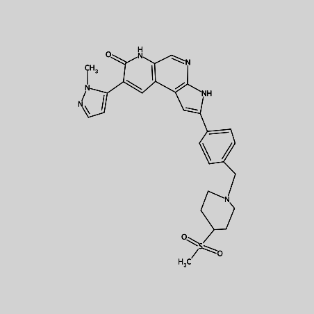 Cn1nccc1-c1cc2c(cnc3[nH]c(-c4ccc(CN5CCC(S(C)(=O)=O)CC5)cc4)cc32)[nH]c1=O